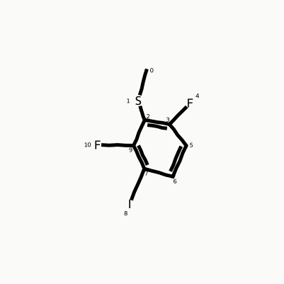 CSc1c(F)ccc(I)c1F